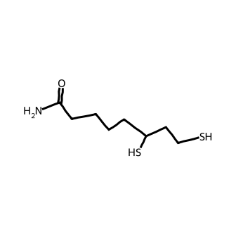 NC(=O)CCCCC(S)CCS